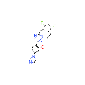 CCC[C@@]1(C)C/C(=C\c2ncc(-c3ccc(-n4ccnc4)cc3O)nn2)[C@H](F)C[C@@H]1F